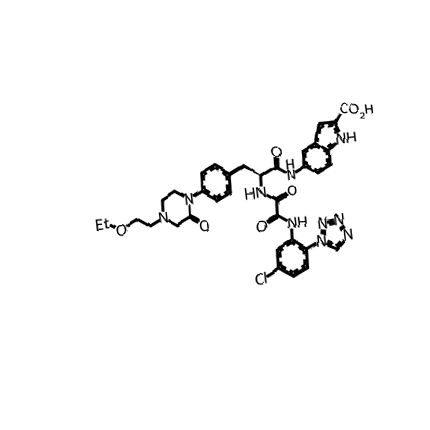 CCOCCN1CCN(c2ccc(C[C@H](NC(=O)C(=O)Nc3cc(Cl)ccc3-n3cnnn3)C(=O)Nc3ccc4[nH]c(C(=O)O)cc4c3)cc2)C(=O)C1